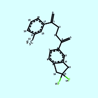 C=C(CCC(=C)c1ccc2c(c1)CC(F)(F)C2)c1cccc(C(F)(F)F)c1